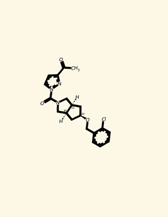 CC(=O)c1ccn(C(=O)N2C[C@H]3C[C@@H](OCc4ccccc4Cl)C[C@H]3C2)n1